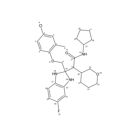 Cc1cc(Cl)ccc1OCC1(C(C(=O)NC2CCCC2)C2CCCOC2)Nc2ccc(F)cc2N1